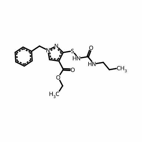 CCCNC(=O)NSc1nn(Cc2ccccc2)cc1C(=O)OCC